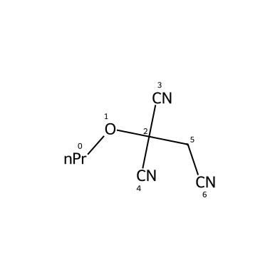 CCCOC(C#N)(C#N)CC#N